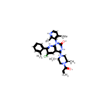 C=CC(=O)N1C[C@H](C)N(c2nc(=O)n(-c3c(SC)ccnc3C(C)C)c3nc(-c4ccccc4C)c(Cl)cc23)C[C@H]1C